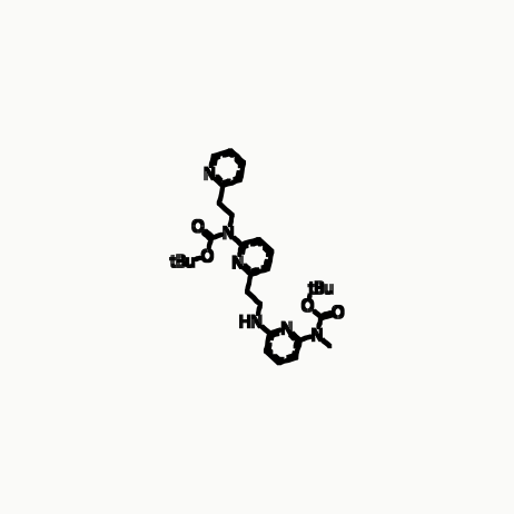 CN(C(=O)OC(C)(C)C)c1cccc(NCCc2cccc(N(CCc3ccccn3)C(=O)OC(C)(C)C)n2)n1